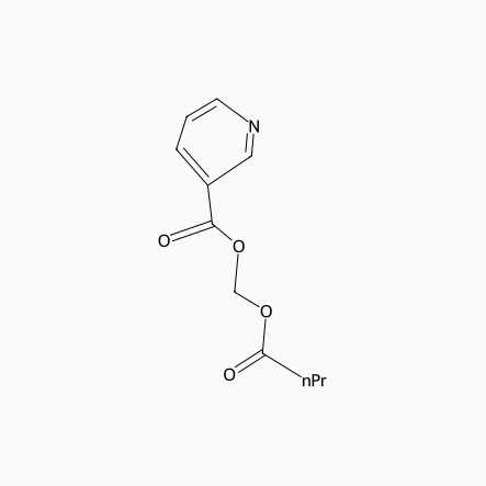 CCCC(=O)OCOC(=O)c1cccnc1